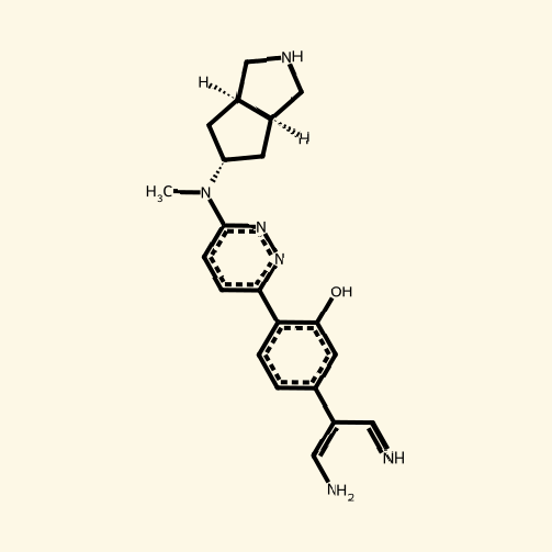 CN(c1ccc(-c2ccc(/C(C=N)=C/N)cc2O)nn1)[C@@H]1C[C@H]2CNC[C@H]2C1